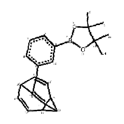 CC1(C)OB(c2cccc(C3=CC4C5C=CC3C=CC54)c2)OC1(C)C